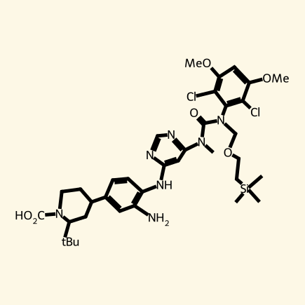 COc1cc(OC)c(Cl)c(N(COCC[Si](C)(C)C)C(=O)N(C)c2cc(Nc3ccc(C4CCN(C(=O)O)C(C(C)(C)C)C4)cc3N)ncn2)c1Cl